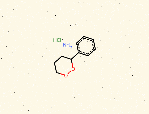 Cl.N.c1ccc(C2CCCOO2)cc1